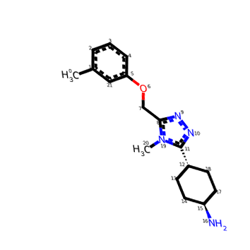 Cc1cccc(OCc2nnc([C@H]3CC[C@H](N)CC3)n2C)c1